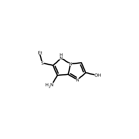 CCSc1[nH]n2cc(O)nc2c1N